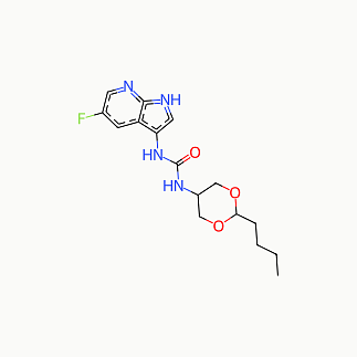 CCCCC1OCC(NC(=O)Nc2c[nH]c3ncc(F)cc23)CO1